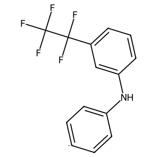 FC(F)(F)C(F)(F)c1cccc(Nc2cc[c]cc2)c1